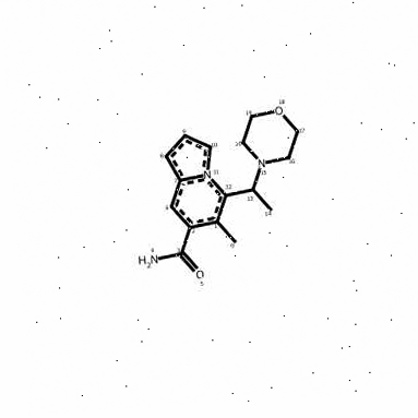 Cc1c(C(N)=O)cc2cccn2c1C(C)N1CCOCC1